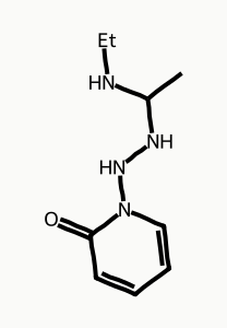 CCNC(C)NNn1ccccc1=O